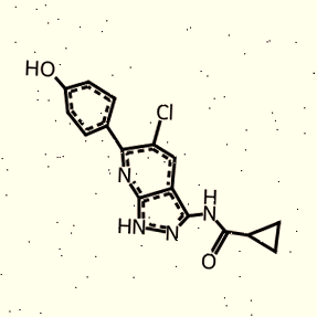 O=C(Nc1n[nH]c2nc(-c3ccc(O)cc3)c(Cl)cc12)C1CC1